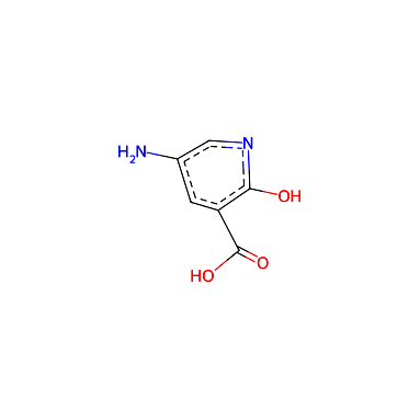 Nc1cnc(O)c(C(=O)O)c1